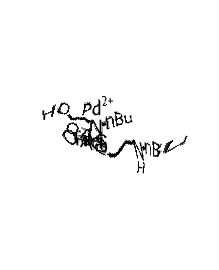 CC(=O)[O-].CC(=O)[O-].CCCCNCCO.CCCCNCCO.[Pd+2]